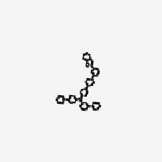 c1ccc(-c2ccc(N(c3ccc(-c4ccc(-c5cccc(-c6cc7ccccc7o6)c5)cc4)cc3)c3cccc(-c4ccccc4)c3)cc2)cc1